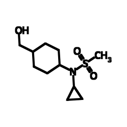 CS(=O)(=O)N(C1CCC(CO)CC1)C1CC1